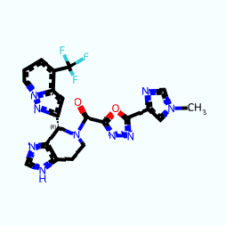 Cn1cnc(-c2nnc(C(=O)N3CCc4[nH]cnc4[C@@H]3c3cc4c(C(F)(F)F)cccn4n3)o2)c1